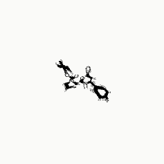 CC(C)(C)OC(=O)N1CCS[C@H]1C(=O)N[C@@H](CC=O)c1ccc(F)cc1